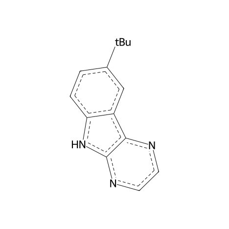 CC(C)(C)c1ccc2[nH]c3nccnc3c2c1